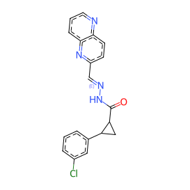 O=C(N/N=C/c1ccc2ncccc2n1)C1CC1c1cccc(Cl)c1